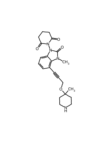 Cn1c(=O)n(N2C(=O)CCCC2=O)c2cccc(C#CCOC3(C)CCNCC3)c21